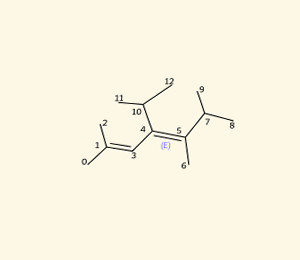 CC(C)=C/C(=C(\C)C(C)C)C(C)C